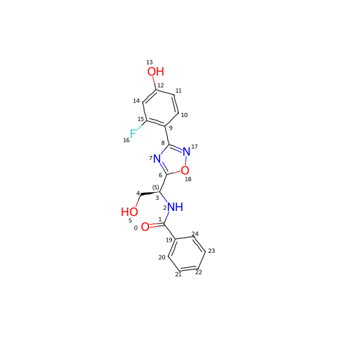 O=C(N[C@@H](CO)c1nc(-c2ccc(O)cc2F)no1)c1ccccc1